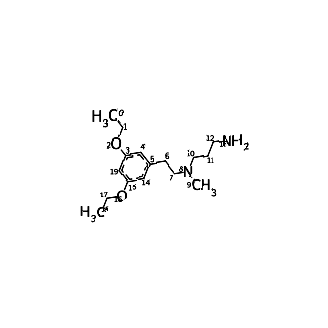 CCOc1cc(CCN(C)CCCN)cc(OCC)c1